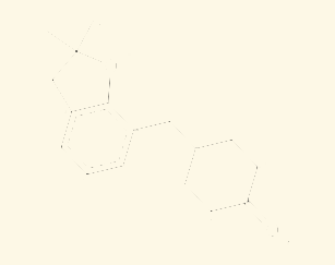 CC1(C)Cc2cccc(CC3CCC(=O)CC3)c2O1